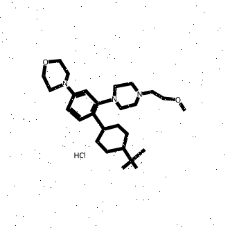 COCCN1CCN(c2cc(N3CCOCC3)ccc2C2CCC(C(C)(C)C)CC2)CC1.Cl